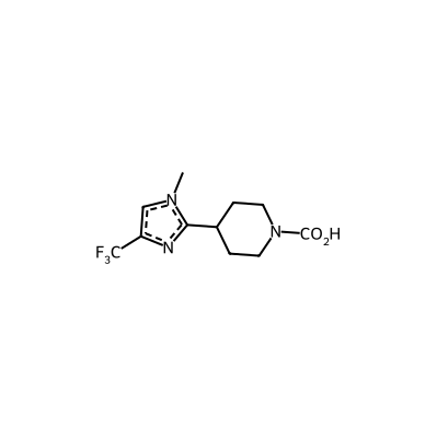 Cn1cc(C(F)(F)F)nc1C1CCN(C(=O)O)CC1